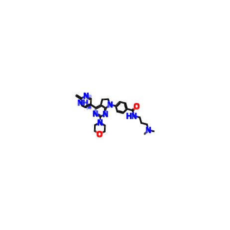 C=C(N)/N=C\C(=C/C)c1nc(N2CCOCC2)nc2c1CCN2c1ccc(C(=O)NCCCN(C)C)cc1